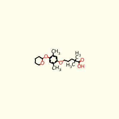 Cc1cc(OC2CCCCO2)c(C)cc1OCCCC(C)(C)C(=O)O